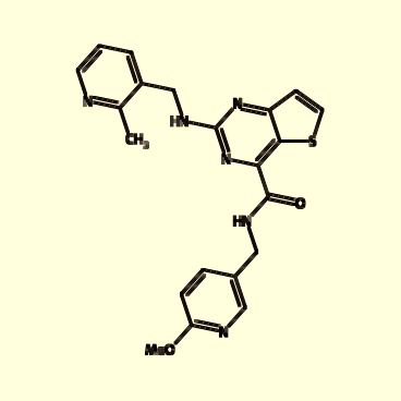 COc1ccc(CNC(=O)c2nc(NCc3cccnc3C)nc3ccsc23)cn1